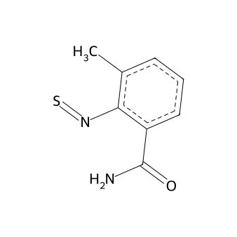 Cc1cccc(C(N)=O)c1N=S